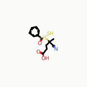 CC(C#N)(CCC(=O)O)[SH](S)C(=O)c1ccccc1